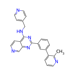 Cc1ncccc1-c1cccc(-c2nc(NCc3ccncc3)c3ccncc3n2)c1